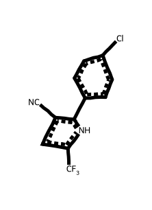 N#Cc1cc(C(F)(F)F)[nH]c1-c1ccc(Cl)cc1